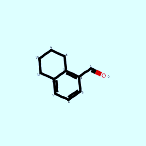 O=Cc1cccc2c1CCCC2